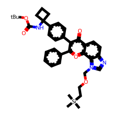 CC(C)(C)OC(=O)NC1(c2ccc(-c3c(-c4ccccc4)oc4c(ccc5ncn(COCC[Si](C)(C)C)c54)c3=O)cc2)CCC1